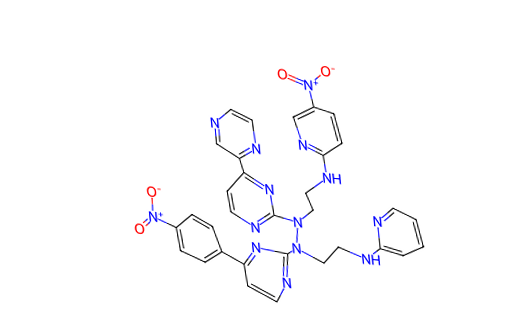 O=[N+]([O-])c1ccc(-c2ccnc(N(CCNc3ccccn3)N(CCNc3ccc([N+](=O)[O-])cn3)c3nccc(-c4cnccn4)n3)n2)cc1